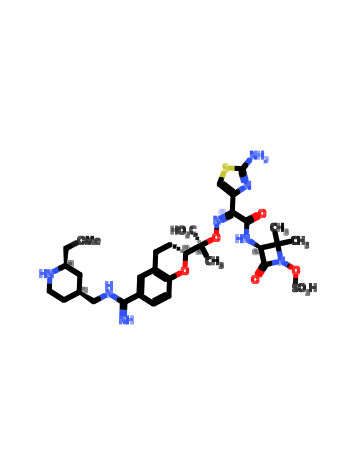 COC[C@H]1C[C@@H](CNC(=N)c2ccc3c(c2)CC[C@H]([C@](C)(O/N=C(\C(=O)N[C@@H]2C(=O)N(OS(=O)(=O)O)C2(C)C)c2csc(N)n2)C(=O)O)O3)CCN1